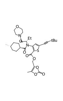 CC[C@@H](C(=O)N1CCOCC1)N(c1cc(C#CC(C)(C)C)sc1C(=O)OCc1oc(=O)oc1C)C(=O)[C@H]1CC[C@H](C)CC1